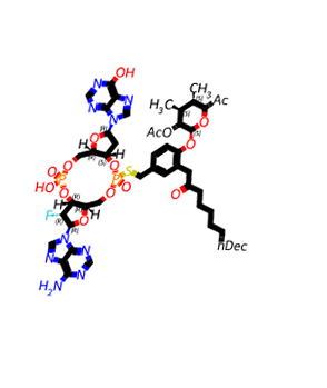 CCCCCCCCCCCCCCCC(=O)Cc1cc(CSP2(=O)OC[C@H]3O[C@@H](n4cnc5c(N)ncnc54)[C@H](F)[C@@H]3OP(=O)(O)OC[C@H]3O[C@@H](n4cnc5c(O)ncnc54)C[C@@H]3O2)ccc1O[C@@H]1OC(C(C)=O)[C@@H](C)[C@H](C)C1OC(C)=O